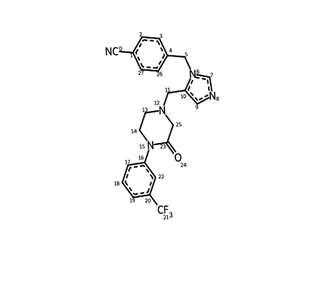 N#Cc1ccc(Cn2cncc2CN2CCN(c3cccc(C(F)(F)F)c3)C(=O)C2)cc1